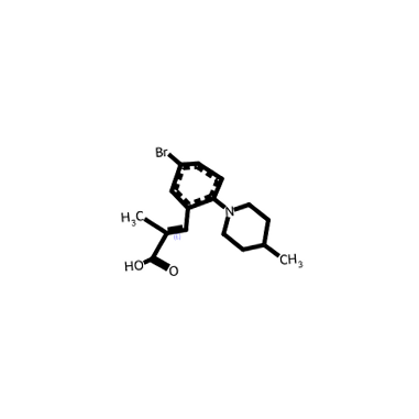 C/C(=C\c1cc(Br)ccc1N1CCC(C)CC1)C(=O)O